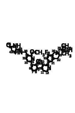 COc1nc(-c2cccc(-c3ccnc(-c4cc(F)c5c(c4)CCN(CC(C)(C)O)C5)c3Cl)c2Cl)ccc1CNCC1CCC(=O)N1